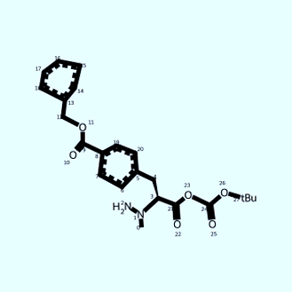 CN(N)[C@@H](Cc1ccc(C(=O)OCc2ccccc2)cc1)C(=O)OC(=O)OC(C)(C)C